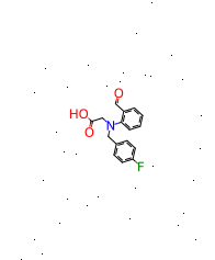 O=Cc1ccccc1N(CC(=O)O)Cc1ccc(F)cc1